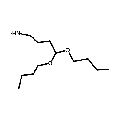 CCCCOC(CCC[NH])OCCCC